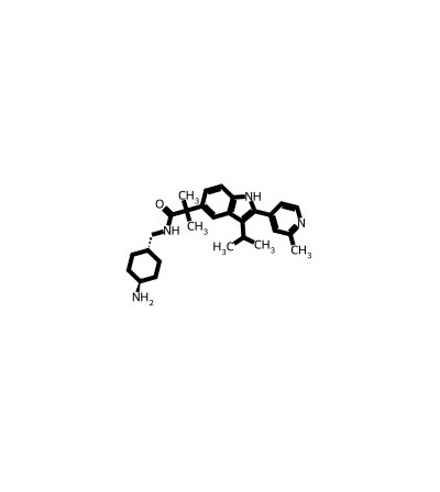 Cc1cc(-c2[nH]c3ccc(C(C)(C)C(=O)NC[C@H]4CC[C@H](N)CC4)cc3c2C(C)C)ccn1